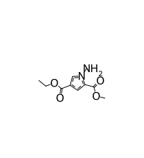 CCOC(=O)c1cc(C(=O)OC)n(N)c1